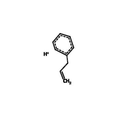 C=CCc1ccccc1.[H+]